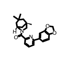 CC1(C)C[C@@H]2C[C@@](C)(CN2C(=O)c2cccc(-c3ccc4c(c3)OCO4)n2)C1